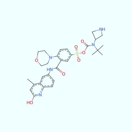 Cc1cc(O)nc2ccc(NC(=O)c3cc(S(=O)(=O)OC(=O)N(C4CNC4)C(C)(C)C)ccc3N3CCOCC3)cc12